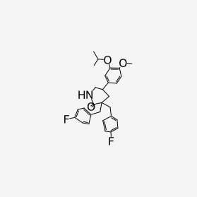 COc1ccc(C2CNC(=O)C(Cc3ccc(F)cc3)(Cc3ccc(F)cc3)C2)cc1OC(C)C